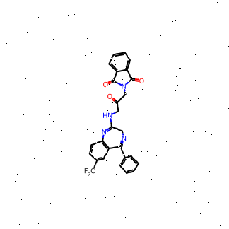 O=C(CNC1=Nc2ccc(C(F)(F)F)cc2C(c2ccccc2)=NC1)CN1C(=O)c2ccccc2C1=O